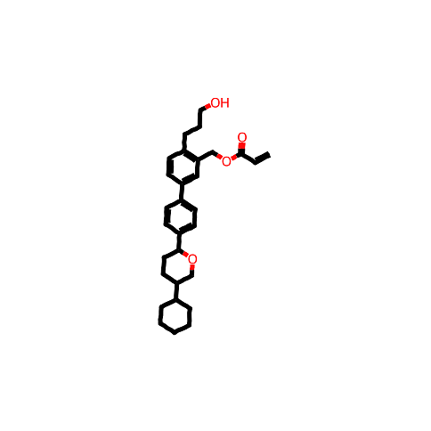 C=CC(=O)OCc1cc(-c2ccc(C3CCC(C4CCCCC4)CO3)cc2)ccc1CCCO